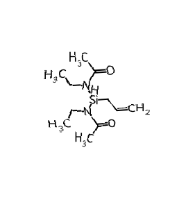 C=CC[SiH](N(CC)C(C)=O)N(CC)C(C)=O